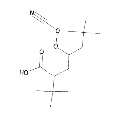 CC(C)(C)CC(CC(C(=O)O)C(C)(C)C)OOC#N